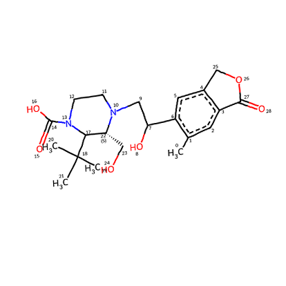 Cc1cc2c(cc1C(O)CN1CCN(C(=O)O)C(C(C)(C)C)[C@H]1CO)COC2=O